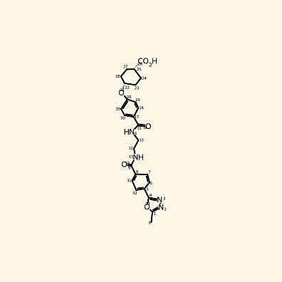 Cc1nnc(-c2ccc(C(=O)NCCNC(=O)c3ccc(O[C@H]4CC[C@@H](C(=O)O)CC4)cc3)cc2)o1